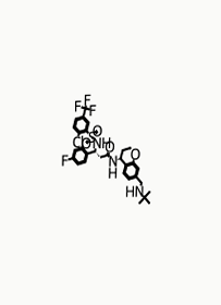 CC(C)(C)NCc1ccc2c(c1)OCC[C@H]2NC(=O)C[C@@H](NS(=O)(=O)c1cc(C(F)(F)F)ccc1Cl)c1ccc(F)cc1